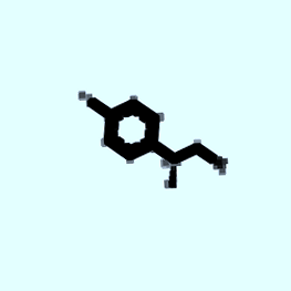 C[C@@H](CBr)c1ccc(I)cc1